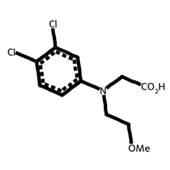 COCCN(CC(=O)O)c1ccc(Cl)c(Cl)c1